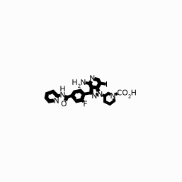 Nc1ncc(I)c2c1c(-c1ccc(C(=O)Nc3ccccn3)cc1F)nn2C1CCCN(C(=O)O)C1